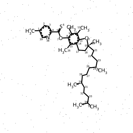 Cc1ccc(C(=S)Oc2c(C)c(C)c3c(c2C)CC[C@@](C)(CCC[C@H](C)CCC[C@H](C)CCCC(C)C)O3)nc1